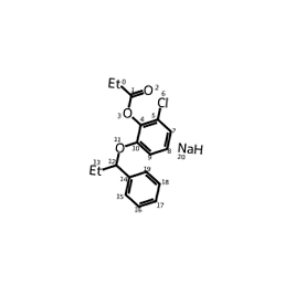 CCC(=O)Oc1c(Cl)cccc1OC(CC)c1ccccc1.[NaH]